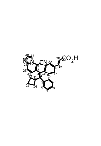 N#Cc1c(/C(=C(/c2ccccc2)C2CCC2)c2ccc(/C=C/C(=O)O)cc2)ccc2nccn12